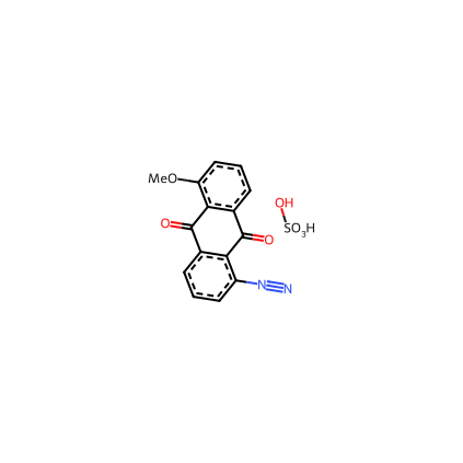 COc1cccc2c1C(=O)c1cccc([N+]#N)c1C2=O.O=S(=O)(O)O